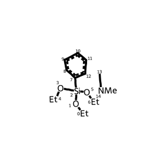 CCO[Si](OCC)(OCC)c1ccccc1.CNC